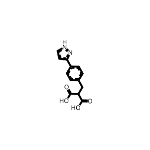 O=C(O)C(Cc1ccc(-c2cc[nH]n2)cc1)C(=O)O